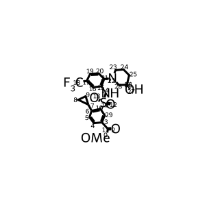 COC(=O)c1ccc(C2CC2)c(S(=O)(=O)Nc2cc(C(F)(F)F)ccc2N2CCC[C@@H](O)C2)c1